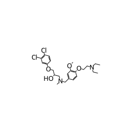 CCN(CC)CCOc1ccc(CN(C)CC(O)COc2ccc(Cl)c(Cl)c2)cc1OC